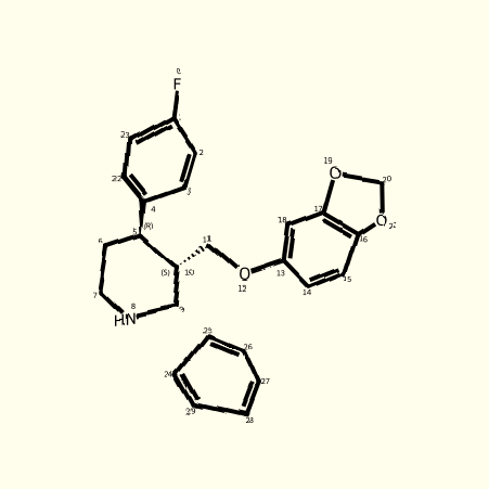 Fc1ccc([C@@H]2CCNC[C@H]2COc2ccc3c(c2)OCO3)cc1.c1ccccc1